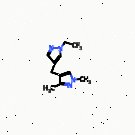 Cc1nn(C)cc1Cc1cnn(CC(F)(F)F)c1